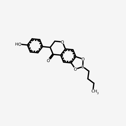 CCCCB1Oc2cc3c(cc2O1)C(=O)C(c1ccc(O)cc1)CO3